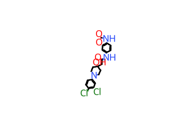 O=C(CC1(O)CCN(c2ccc(Cl)c(Cl)c2)CC1)Nc1ccc2[nH]c(=O)oc2c1